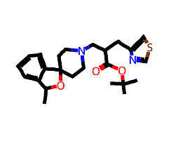 CC1OC2(CCN(CC(Cc3cscn3)C(=O)OC(C)(C)C)CC2)c2ccccc21